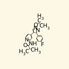 CC(C)On1cc(-c2ccnc(NC(=O)C(C)C)c2)c(-c2ccc(F)cc2)n1